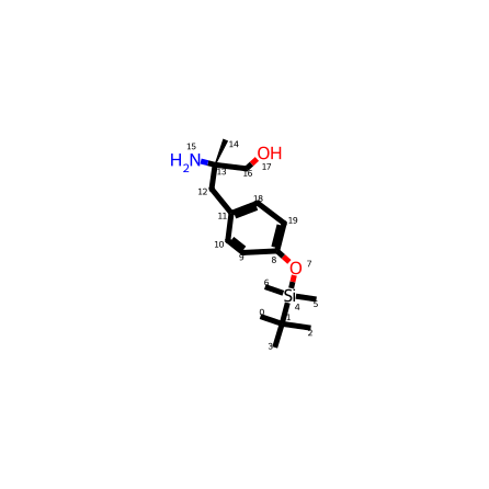 CC(C)(C)[Si](C)(C)Oc1ccc(C[C@](C)(N)CO)cc1